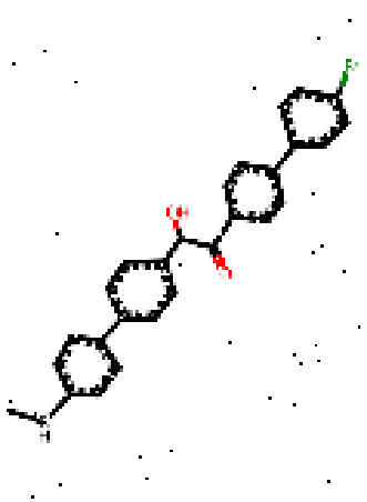 CBc1ccc(-c2ccc(C(O)C(=O)c3ccc(-c4ccc(Br)cc4)cc3)cc2)cc1